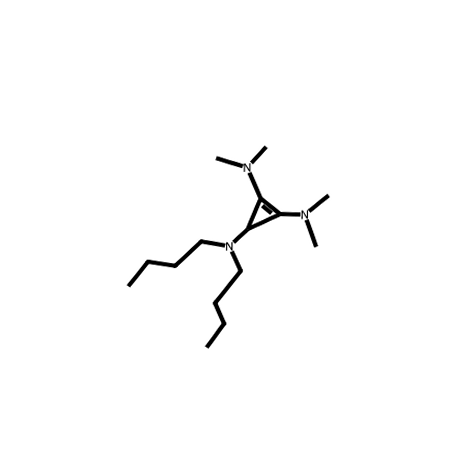 CCCCN(CCCC)C1C(N(C)C)=C1N(C)C